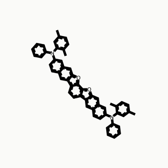 Cc1ccc(C)c(N(c2ccccc2)c2ccc3cc4c(cc3c2)oc2c4ccc3c4cc5ccc(N(c6ccccc6)c6cc(C)ccc6C)cc5cc4oc32)c1